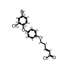 O=C(Cl)C=CCCOc1ccc(Oc2ccc(Br)cc2Cl)cc1